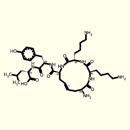 CC(C)C[C@H](NC(=O)[C@H](Cc1ccc(O)cc1)NC(=O)[C@@H]1C/C=C/C[C@H](N)C(=O)N[C@H](CCCCN)C(=O)N[C@@H](CCCCN)C(=O)N1)C(=O)O